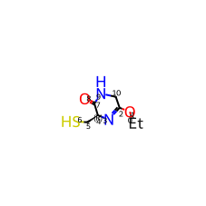 CCOC1=N[C@@H](CS)C(=O)NC1